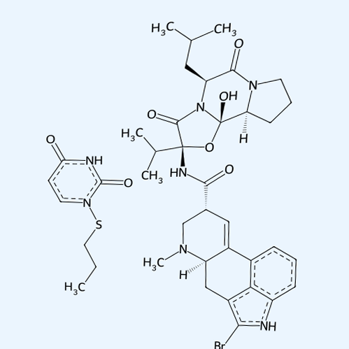 CC(C)C[C@H]1C(=O)N2CCC[C@H]2[C@]2(O)O[C@](NC(=O)[C@@H]3C=C4c5cccc6[nH]c(Br)c(c56)C[C@H]4N(C)C3)(C(C)C)C(=O)N12.CCCSn1ccc(=O)[nH]c1=O